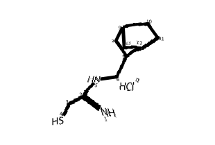 Cl.N=C(CS)NCC1CC2CCC1C2